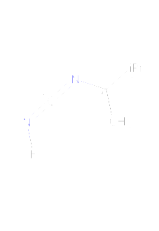 CCN=C=NC(C)C(C)C